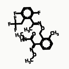 CNC(=O)/C(=N/OC)c1cccc(C)c1CO/N=C(\C)c1c(F)ccc(F)c1CC(F)(F)F